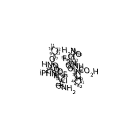 CC(C)C[C@@H](NC(=O)OCc1ccccc1)C(=O)NN(CCC(N)=O)C(=O)C(F)Cl.NC(=O)CCN(NC(=O)C(CC1CCCCC1)NC(=O)O)C(=O)C(F)Cl